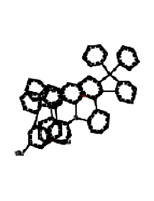 CC(C)(C)c1cc(-c2cccc3cccc(-c4ccccc4N(c4ccccc4-c4cccc5c4-c4ccccc4C5(c4ccccc4)c4ccccc4)c4cccc5c6ccccc6n(-c6ccccc6)c45)c23)cc(C(C)(C)C)c1